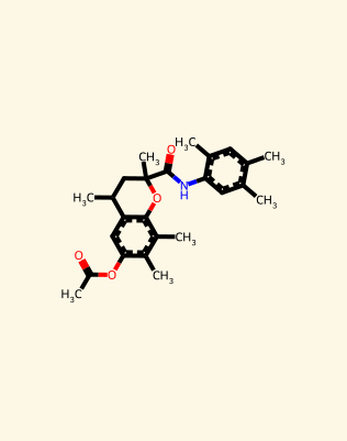 CC(=O)Oc1cc2c(c(C)c1C)OC(C)(C(=O)Nc1cc(C)c(C)cc1C)CC2C